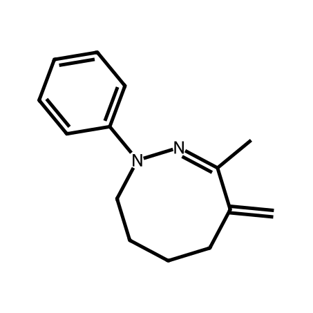 C=C1CCCCN(c2ccccc2)/N=C\1C